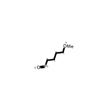 COCCCCP=O